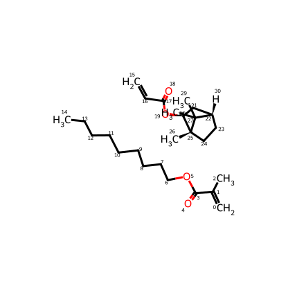 C=C(C)C(=O)OCCCCCCCCC.C=CC(=O)O[C@H]1C[C@@H]2CC[C@@]1(C)C2(C)C